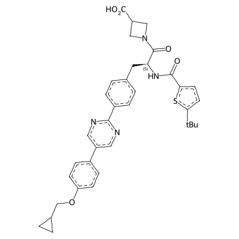 CC(C)(C)c1ccc(C(=O)N[C@@H](Cc2ccc(-c3ncc(-c4ccc(OCC5CC5)cc4)cn3)cc2)C(=O)N2CC(C(=O)O)C2)s1